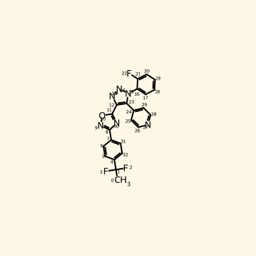 CC(F)(F)c1ccc(-c2noc(-c3nnn(-c4ccccc4F)c3-c3ccncc3)n2)cc1